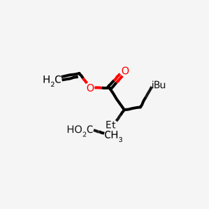 C=COC(=O)C(CC)CC(C)CC.CC(=O)O